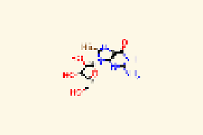 Nc1nc2c(nc(S)n2[C@@H]2O[C@H](CO)C(O)C2O)c(=O)[nH]1